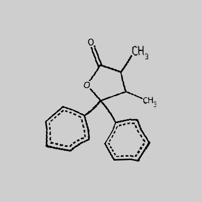 CC1C(=O)OC(c2ccccc2)(c2ccccc2)C1C